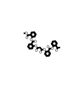 COC(=O)c1ccccc1OC(=O)c1ccccc1OC(=O)CC(=O)Oc1ccccc1C(=O)Oc1ccccc1C(C)=O